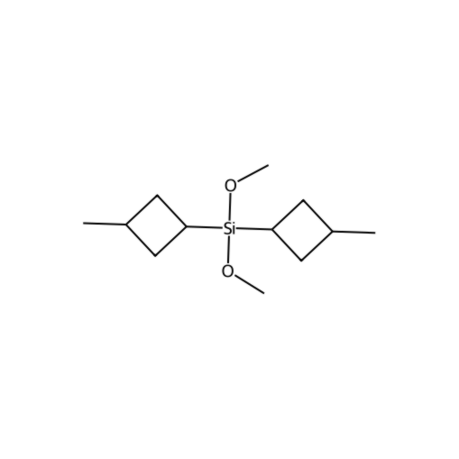 CO[Si](OC)(C1CC(C)C1)C1CC(C)C1